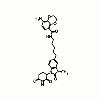 Cn1c(=O)n(C2CCC(=O)NC2=O)c2ccc(CCCCCNC(=O)c3ccc(N)c4c3OCCO4)cc21